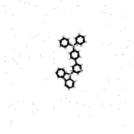 C1=CC2c3ccccc3N(c3cncc(-c4ccc(N(c5ccccc5)c5ccccc5)cc4)c3)C2C=C1